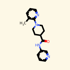 Cc1cccnc1N1CCC(C(=O)Nc2cccnc2)CC1